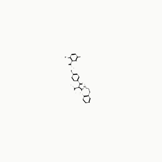 COc1ccc(F)c(F)c1C(=O)NCc1ccc(-c2nn3c(c2C(N)=O)Nc2ccc(C)cc2CC3)cc1